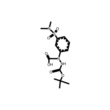 CN(C)S(=O)(=O)c1cccc(N(NC(=O)OC(C)(C)C)C(=O)O)c1